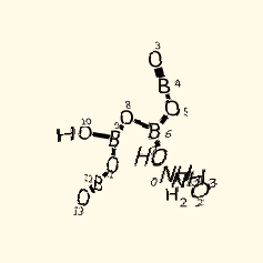 N.N.O.O=BOB(O)OB(O)OB=O